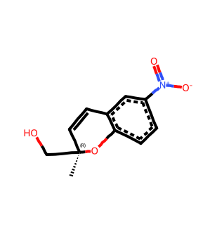 C[C@]1(CO)C=Cc2cc([N+](=O)[O-])ccc2O1